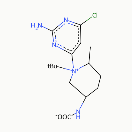 CC1CCC(NC(=O)[O-])C[N+]1(c1cc(Cl)nc(N)n1)C(C)(C)C